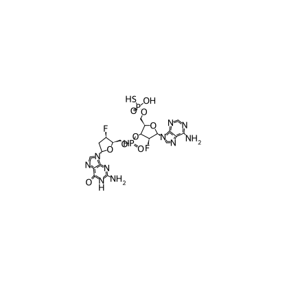 Nc1nc2c(ncn2[C@H]2C[C@@H](F)[C@@H](CO[PH](=O)OC3[C@@H](COP(=O)(O)S)O[C@@H](n4cnc5c(N)ncnc54)[C@H]3F)O2)c(=O)[nH]1